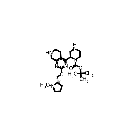 CN1CCC[C@H]1COc1nc2c(c(C3CNCCN3C(=O)OC(C)(C)C)n1)CCNC2